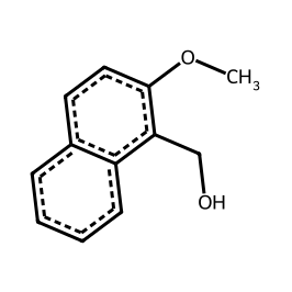 COc1ccc2ccccc2c1CO